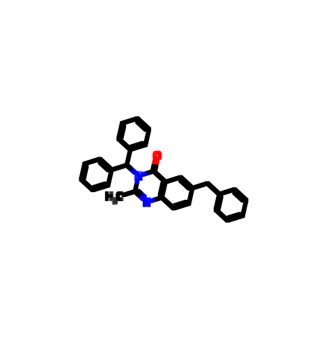 Cc1nc2ccc(Cc3ccccc3)cc2c(=O)n1C(c1ccccc1)c1ccccc1